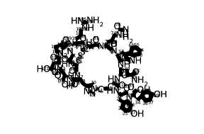 C[C@@H](O)[C@@H]1NC(=O)[C@@H]2Cc3cn(nn3)CCC[C@@H](C(=O)N[C@@H](Cc3ccc(O)cc3)C(=O)N[C@H](Cc3ccc(O)cc3)C(=O)O)NC(=O)[C@H](CCC(N)=O)NC(=O)[C@H](Cc3c[nH]c4ccccc34)NC(=O)[C@H](CCCNC(N)=O)NC(=O)[C@H](CSSCC(NC(=O)CN)C(=O)N2)NC(=O)[C@H](CCCNC(=N)N)NC(=O)[C@@H]2CCCN2C(=O)[C@H](CC(=O)O)NC1=O